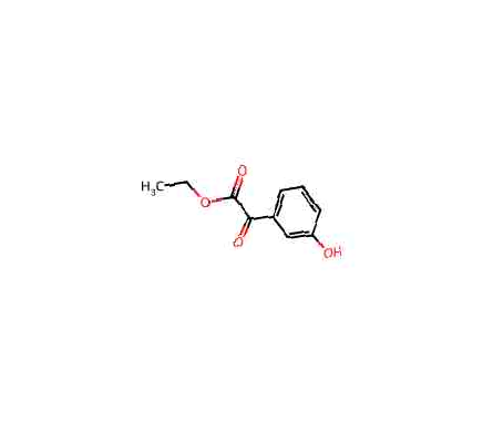 CCOC(=O)C(=O)c1cccc(O)c1